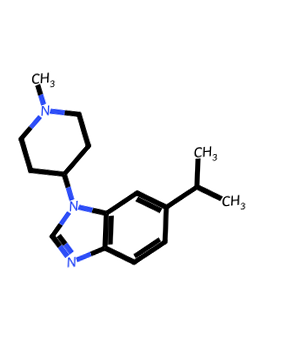 CC(C)c1ccc2ncn(C3CCN(C)CC3)c2c1